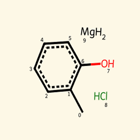 Cc1ccccc1O.Cl.[MgH2]